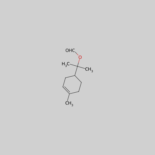 CC1=CCC(C(C)(C)OC=O)CC1